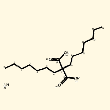 CCCCCCCC(CCCCCCC)(C(=O)O)C(=O)O.[LiH]